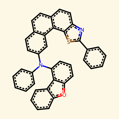 c1ccc(-c2nc3ccc4ccc5ccc(N(c6ccccc6)c6cccc7oc8ccccc8c67)cc5c4c3s2)cc1